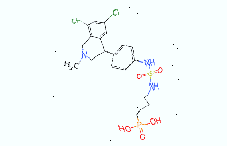 CN1Cc2c(Cl)cc(Cl)cc2C(c2ccc(NS(=O)(=O)NCCCP(=O)(O)O)cc2)C1